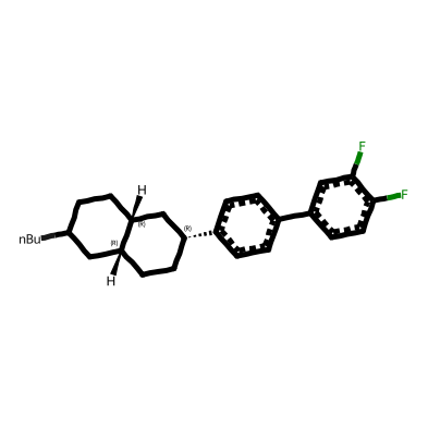 CCCCC1CC[C@@H]2C[C@H](c3ccc(-c4ccc(F)c(F)c4)cc3)CC[C@@H]2C1